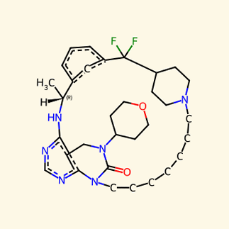 C[C@H]1Nc2ncnc3c2CN(C2CCOCC2)C(=O)N3CCCCCCCN2CCC(CC2)C(F)(F)c2cccc1c2